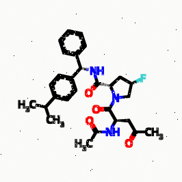 CC(=O)C[C@@H](NC(C)=O)C(=O)N1C[C@H](F)C[C@H]1C(=O)N[C@@H](c1ccccc1)c1ccc(C(C)C)cc1